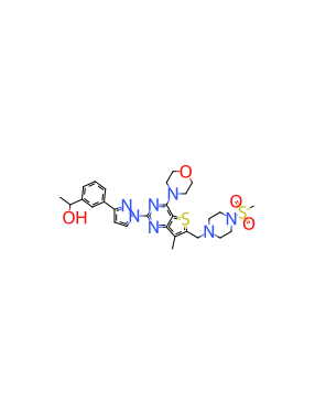 Cc1c(CN2CCN(S(C)(=O)=O)CC2)sc2c(N3CCOCC3)nc(-n3ccc(-c4cccc(C(C)O)c4)n3)nc12